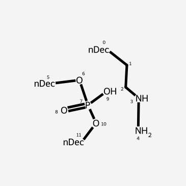 CCCCCCCCCCCCNN.CCCCCCCCCCOP(=O)(O)OCCCCCCCCCC